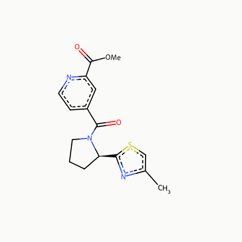 COC(=O)c1cc(C(=O)N2CCC[C@@H]2c2nc(C)cs2)ccn1